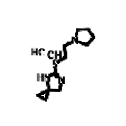 C1CCN(CCSC2=NCC3(CC3)N2)C1.Cl.Cl